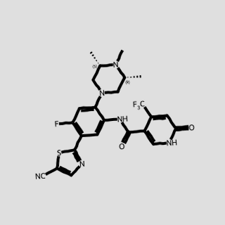 C[C@@H]1CN(c2cc(F)c(-c3ncc(C#N)s3)cc2NC(=O)c2c[nH]c(=O)cc2C(F)(F)F)C[C@H](C)N1C